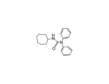 O=C(NC1CCCCCC1)N(c1ccccc1)c1ccccc1